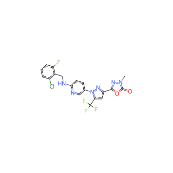 Cn1nc(-c2cc(C(F)(F)F)n(-c3ccc(NCc4c(F)cccc4Cl)nc3)n2)oc1=O